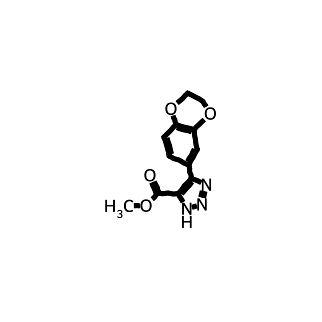 COC(=O)c1[nH]nnc1-c1ccc2c(c1)OCCO2